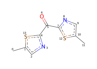 Cc1cnc(C(=O)c2ncc(C)s2)s1